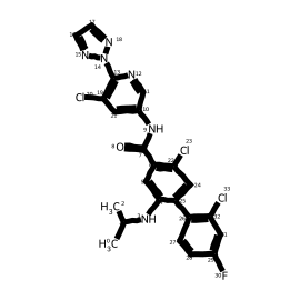 CC(C)Nc1cc(C(=O)Nc2cnc(-n3nccn3)c(Cl)c2)c(Cl)cc1-c1ccc(F)cc1Cl